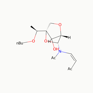 CCCCO[C@@H](C)[C@]12CO[C@H]([C@H](N(/C=C\C(C)=O)C(C)=O)O1)[C@H]2O